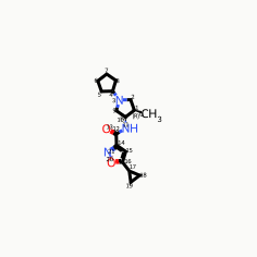 C[C@@H]1CN(C2CCCC2)C[C@H]1NC(=O)c1cc(C2CC2)on1